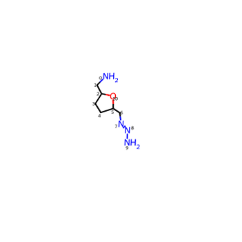 NCC1CCC(CN=NN)O1